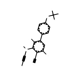 CC#CN(C)c1c(C)c(-c2ccc(OC(F)(F)F)cc2)cc(Br)c1C#N